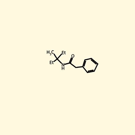 CCC(C)(CC)NC(=O)Cc1ccccc1